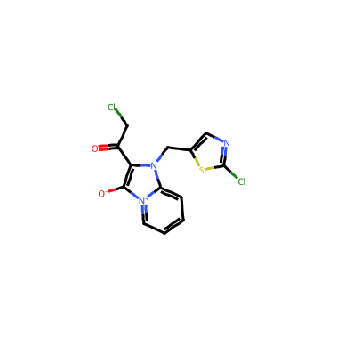 O=C(CCl)c1c([O-])[n+]2ccccc2n1Cc1cnc(Cl)s1